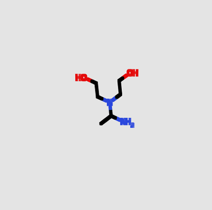 CC(N)N(CCO)CCO